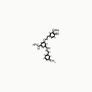 CCCNc1cc(OCCc2ccc(CC)c(OC)c2)cc(N/N=C/c2cccc(C)c2)n1